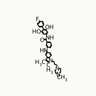 Cc1c(C)n(CCCN2CCN(C)CC2)c2ccc(Nc3cccc(C(=O)Nc4cc(O)c(-c5ccc(F)cc5)c(O)c4)c3)cc12